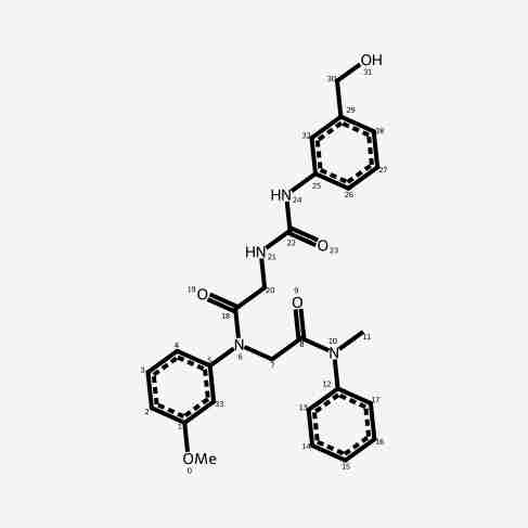 COc1cccc(N(CC(=O)N(C)c2ccccc2)C(=O)CNC(=O)Nc2cccc(CO)c2)c1